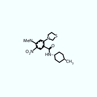 CNc1cc(N2CCSC2)c(C(=O)N[C@H]2CC[C@H](C)CC2)cc1[N+](=O)[O-]